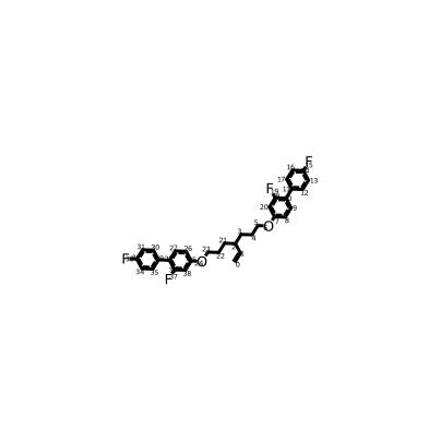 C=CC(CCCOc1ccc(-c2ccc(F)cc2)c(F)c1)CCCOc1ccc(-c2ccc(F)cc2)c(F)c1